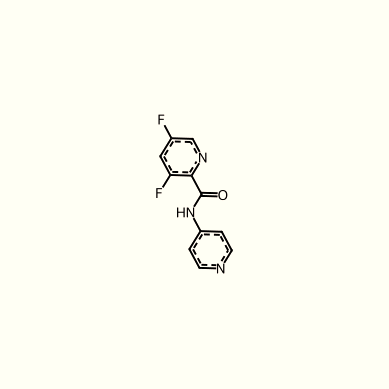 O=C(Nc1ccncc1)c1ncc(F)cc1F